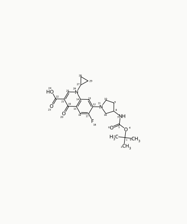 CC(C)(C)OC(=O)NC1CCN(c2cc3c(cc2F)c(=O)c(C(=O)O)cn3C2CC2)C1